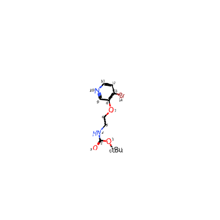 CC(C)(C)OC(=O)NCCOc1cnccc1Br